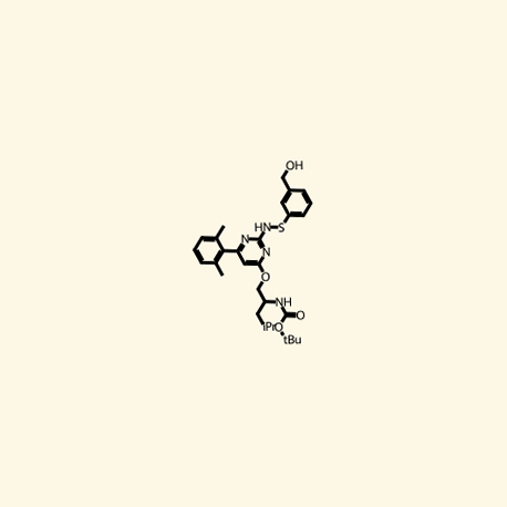 Cc1cccc(C)c1-c1cc(OCC(CC(C)C)NC(=O)OC(C)(C)C)nc(NSc2cccc(CO)c2)n1